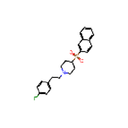 O=S(=O)(c1ccc2ccccc2c1)C1CCN(CCc2ccc(F)cc2)CC1